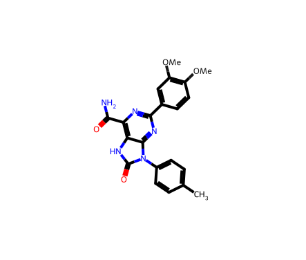 COc1ccc(-c2nc(C(N)=O)c3[nH]c(=O)n(-c4ccc(C)cc4)c3n2)cc1OC